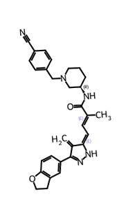 C=c1c(-c2ccc3c(c2)CCO3)n[nH]/c1=C/C=C(\C)C(=O)N[C@@H]1CCCN(Cc2ccc(C#N)cc2)C1